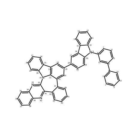 c1ccc(-c2cccc(-n3c4ccccc4c4cc(-c5cc6c7c(c5)c5ccccc5n7-c5nc7ccccc7nc5-c5ccccc5-6)ccc43)c2)cc1